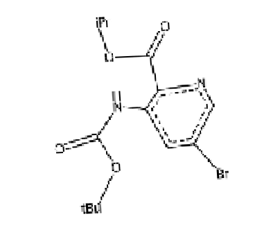 CC(C)OC(=O)c1ncc(Br)cc1NC(=O)OC(C)(C)C